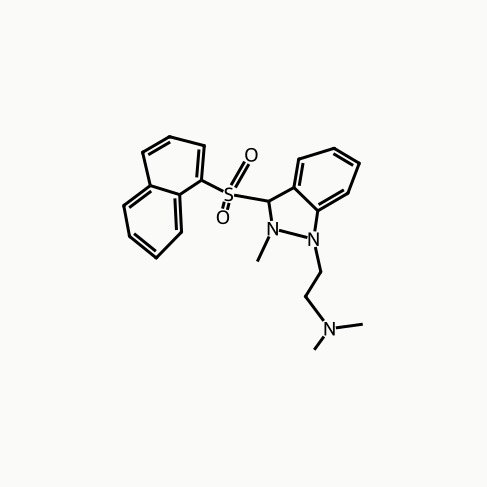 CN(C)CCN1c2ccccc2C(S(=O)(=O)c2cccc3ccccc23)N1C